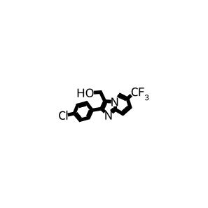 OCc1c(-c2ccc(Cl)cc2)nc2ccc(C(F)(F)F)cn12